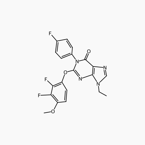 CCn1cnc2c(=O)n(-c3ccc(F)cc3)c(Oc3ccc(OC)c(F)c3F)nc21